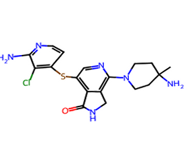 CC1(N)CCN(c2ncc(Sc3ccnc(N)c3Cl)c3c2CNC3=O)CC1